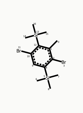 Cc1c(Br)c([Si](C)(C)C)cc(Br)c1[Si](C)(C)C